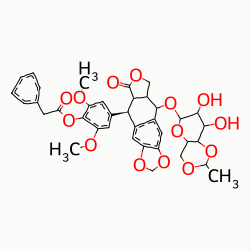 COc1cc([C@@H]2c3cc4c(cc3C(OC3OC5COC(C)OC5C(O)C3O)C3COC(=O)C32)OCO4)cc(OC)c1OC(=O)Cc1ccccc1